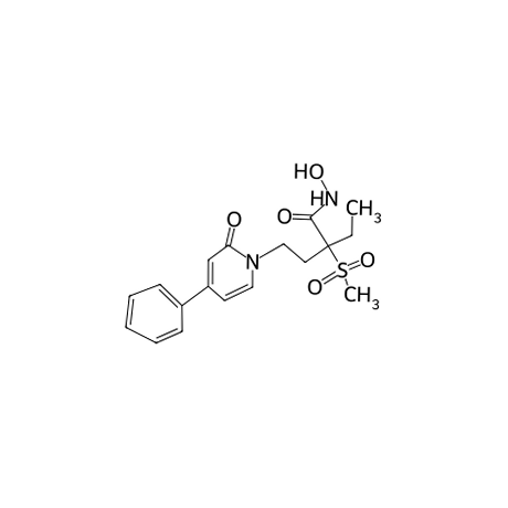 CCC(CCn1ccc(-c2ccccc2)cc1=O)(C(=O)NO)S(C)(=O)=O